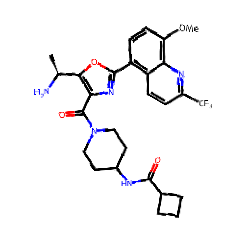 COc1ccc(-c2nc(C(=O)N3CCC(NC(=O)C4CCC4)CC3)c([C@H](C)N)o2)c2ccc(C(F)(F)F)nc12